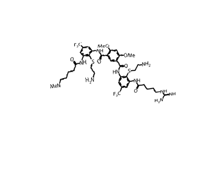 CNCCCCC(=O)Nc1cc(C(F)(F)F)cc(NC(=O)c2cc(C(=O)Nc3cc(C(F)(F)F)cc(NC(=O)CCCCNC(=N)N)c3SCCN)c(OC)cc2OC)c1SCCN